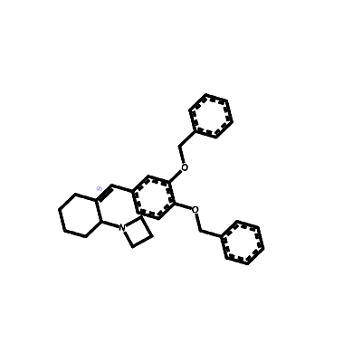 C(=C1\CCCCC1N1CCC1)/c1ccc(OCc2ccccc2)c(OCc2ccccc2)c1